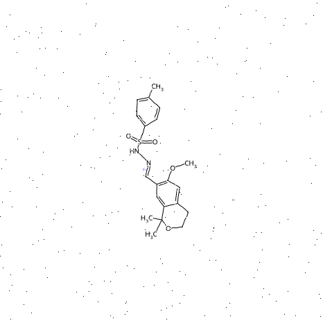 COc1cc2c(cc1/C=N/NS(=O)(=O)c1ccc(C)cc1)C(C)(C)OCC2